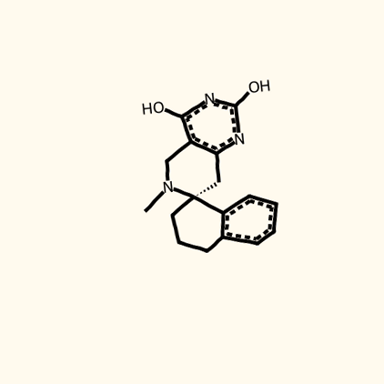 CN1Cc2c(O)nc(O)nc2C[C@]12CCCc1ccccc12